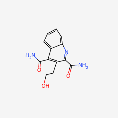 NC(=O)c1nc2ccccc2c(C(N)=O)c1CCO